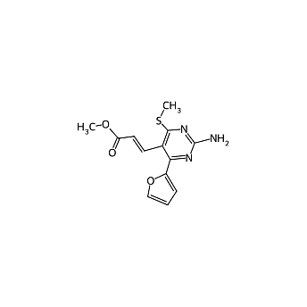 COC(=O)C=Cc1c(SC)nc(N)nc1-c1ccco1